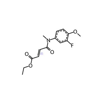 CCOC(=O)/C=C/C(=O)N(C)c1ccc(OC)c(F)c1